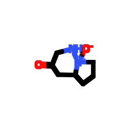 O=C1CN[N+]2([O-])CCCC2C1